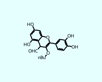 CCCCOC1=C(c2ccc(O)c(O)c2)Oc2cc(O)cc(O)c2C1C=O